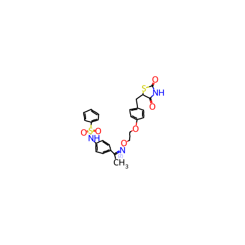 C/C(=N/OCCOc1ccc(CC2SC(=O)NC2=O)cc1)c1ccc(NS(=O)(=O)c2ccccc2)cc1